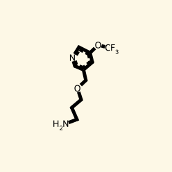 NCCCOCc1cncc(OC(F)(F)F)c1